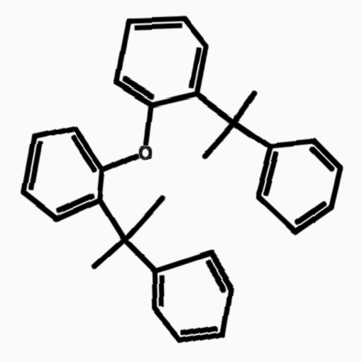 CC(C)(c1ccccc1)c1ccccc1Oc1ccccc1C(C)(C)c1ccccc1